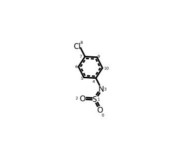 O=S(=O)=Nc1ccc(Cl)cc1